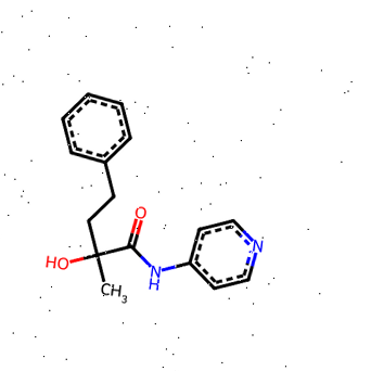 CC(O)(CCc1ccccc1)C(=O)Nc1ccncc1